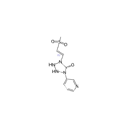 CS(=O)(=O)/C=C/N1NNN(c2cccnc2)C1=O